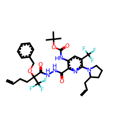 C=CCCC(OCc1ccccc1)(C(=O)NNC(=O)c1nc(N2CCCC2CC=C)c(C(F)(F)F)cc1NC(=O)OC(C)(C)C)C(F)(F)F